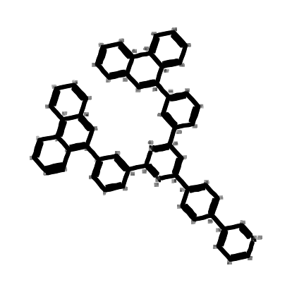 c1ccc2c(c#1)c(-c1cccc(-c3nc(-c4ccc(-c5cccnc5)cc4)cc(-c4cccc(-c5cc6ccccc6c6ccccc56)c4)n3)c1)cc1ccccc12